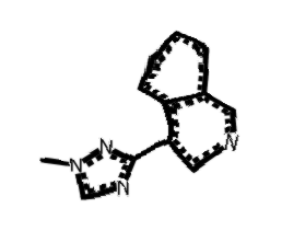 Cn1cnc(-c2cncc3ccccc23)n1